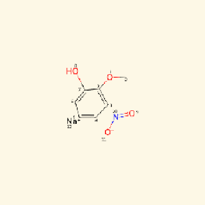 COc1ccccc1O.O=N[O-].[Na+]